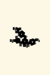 CC(=O)Nc1ccc(Sc2nc(Nc3cc(C)[nH]n3)c(C)c(NC3CCN(C)CC3)n2)cc1